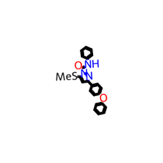 CSc1cc(-c2ccc(Oc3ccccc3)cc2)nn1C(=O)Nc1ccccc1